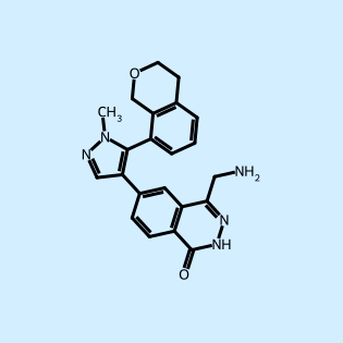 Cn1ncc(-c2ccc3c(=O)[nH]nc(CN)c3c2)c1-c1cccc2c1COCC2